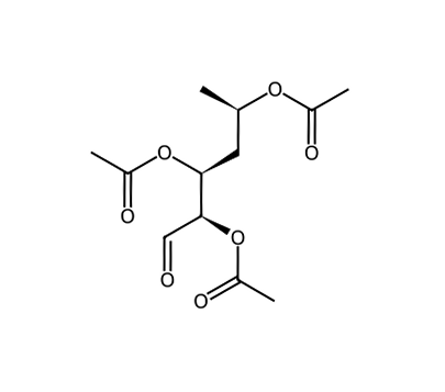 CC(=O)O[C@H](C)C[C@H](OC(C)=O)[C@H](C=O)OC(C)=O